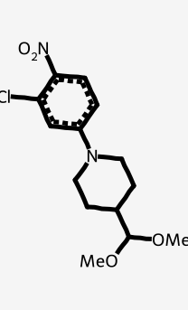 COC(OC)C1CCN(c2ccc([N+](=O)[O-])c(Cl)c2)CC1